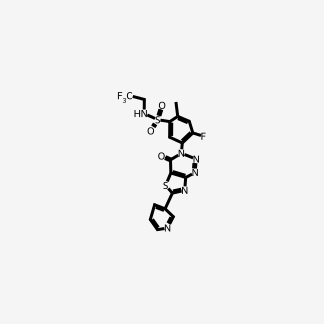 Cc1cc(F)c(-n2nnc3nc(-c4cccnc4)sc3c2=O)cc1S(=O)(=O)NCC(F)(F)F